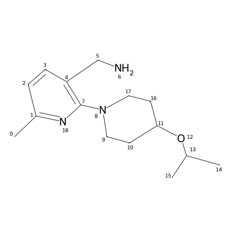 Cc1ccc(CN)c(N2CCC(OC(C)C)CC2)n1